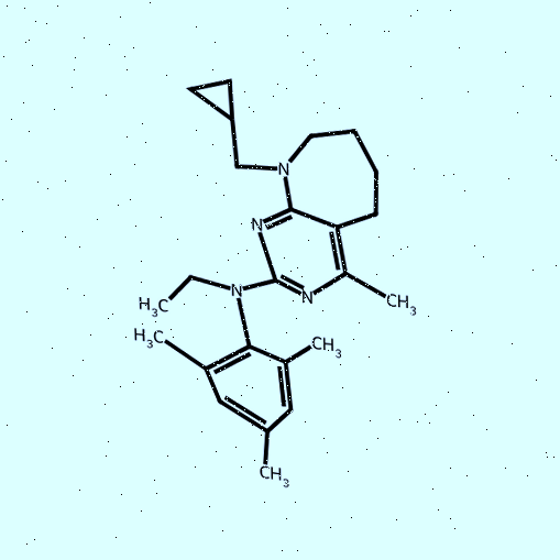 CCN(c1nc(C)c2c(n1)N(CC1CC1)CCCC2)c1c(C)cc(C)cc1C